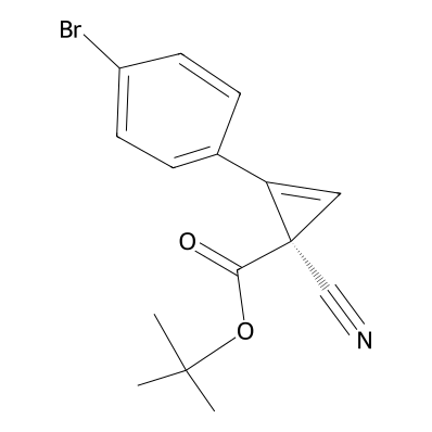 CC(C)(C)OC(=O)[C@]1(C#N)C=C1c1ccc(Br)cc1